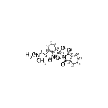 CN(C)C=Cc1cccc(C(=O)CN2C(=O)c3ccccc3C2=O)c1[N+](=O)[O-]